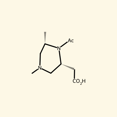 CC(=O)N1[C@H](CC(=O)O)CN(C)C[C@@H]1C